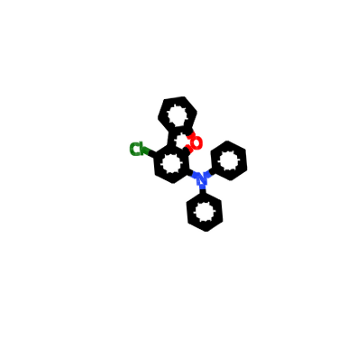 Clc1ccc(N(c2ccccc2)c2ccccc2)c2oc3ccccc3c12